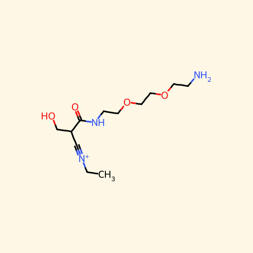 CC[N+]#CC(CO)C(=O)NCCOCCOCCN